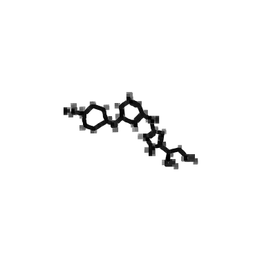 CC[C@@H](C)c1cc(Nc2cncc(OC3CCN(C)CC3)n2)n[nH]1